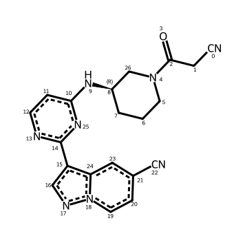 N#CCC(=O)N1CCC[C@@H](Nc2ccnc(-c3cnn4ccc(C#N)cc34)n2)C1